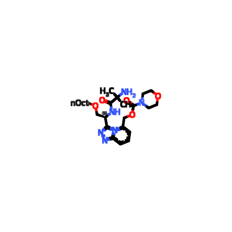 CCCCCCCCOC[C@@H](NC(=O)C(C)(C)N)c1nnc2cccc(COC(=O)N3CCOCC3)n12